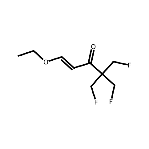 CCOC=CC(=O)C(CF)(CF)CF